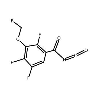 O=C=NC(=O)c1cc(F)c(F)c(OCF)c1F